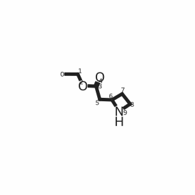 CCOC(=O)CC1CCN1